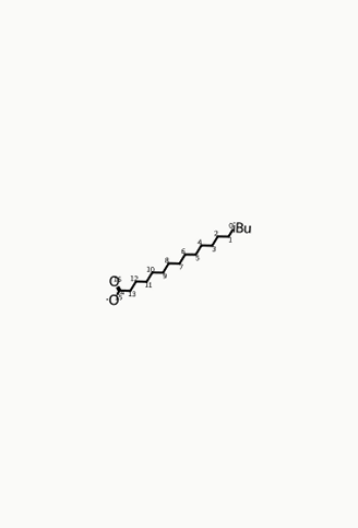 CCC(C)CCCCCCCCCCCCCC([O])=O